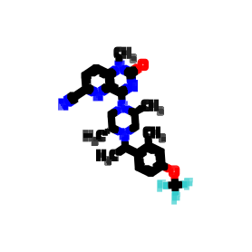 Cc1cc(OC(F)(F)F)ccc1C(C)N1C[C@H](C)N(c2nc(=O)n(C)c3ccc(C#N)nc23)C[C@H]1C